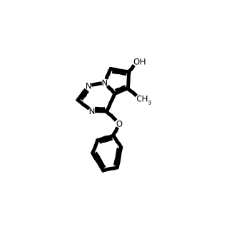 Cc1c(O)cn2ncnc(Oc3ccccc3)c12